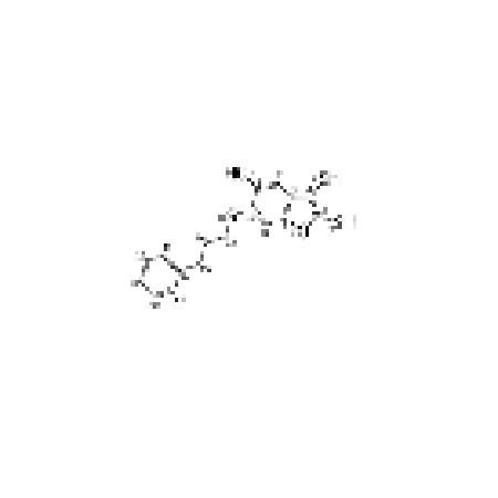 Oc1cc2c(S)c(S)oc2cc1SCCCc1ccccc1